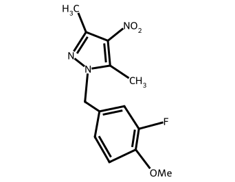 COc1ccc(Cn2nc(C)c([N+](=O)[O-])c2C)cc1F